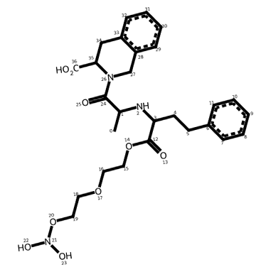 CC(NC(CCc1ccccc1)C(=O)OCCOCCON(O)O)C(=O)N1Cc2ccccc2CC1C(=O)O